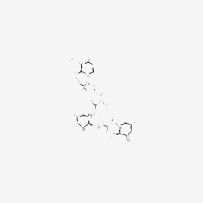 CC(=O)N(CCCN(CCCN(C(C)=O)n1cccc(O)c1=O)C(=O)Cn1cccc(O)c1=O)n1cccc(O)c1=O